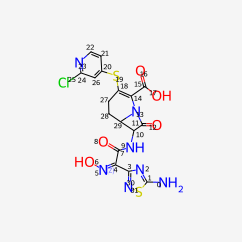 Nc1nc(/C(=N/O)C(=O)NC2C(=O)N3C(C(=O)O)=C(Sc4ccnc(Cl)c4)CCC23)ns1